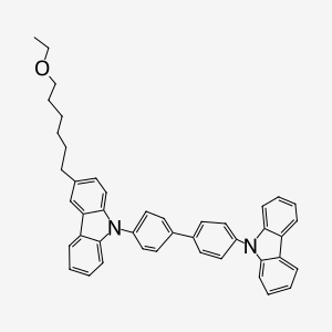 CCOCCCCCCc1ccc2c(c1)c1ccccc1n2-c1ccc(-c2ccc(-n3c4ccccc4c4ccccc43)cc2)cc1